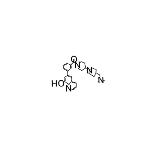 CN(C)CC1CCN(C2CCN(C(=O)c3cccc(-c4cc(O)c5ncccc5c4)c3)CC2)CC1